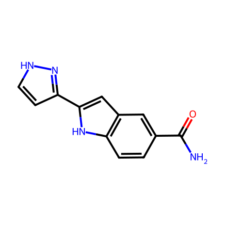 NC(=O)c1ccc2[nH]c(-c3cc[nH]n3)cc2c1